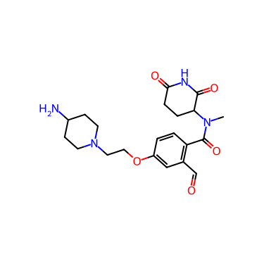 CN(C(=O)c1ccc(OCCN2CCC(N)CC2)cc1C=O)C1CCC(=O)NC1=O